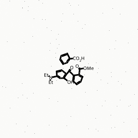 CCN(CC)c1ccc(C(=O)c2ccccc2C(=O)OC)c(O)c1.O=C(O)c1ccccc1